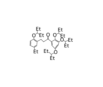 CCc1ccc(OC(CC)CC)c(CCC(=O)c2cc(OC(CC)CC)cc(OC(CC)CC)c2OC(CC)CC)c1